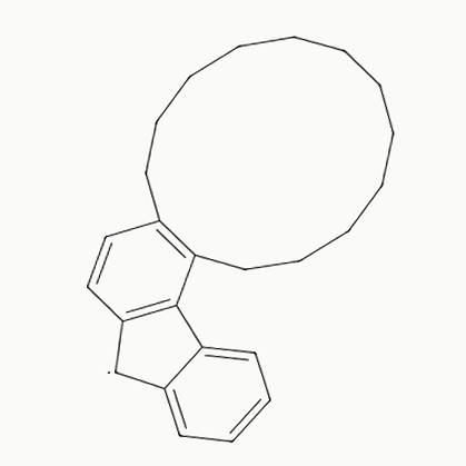 [CH]1c2ccccc2-c2c1ccc1c2CCCCCCCCCCCC1